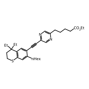 CCCCCCc1cc2c(cc1C#Cc1cnc(CCCCC(=O)OCC)cn1)C(CC)(CC)CCS2